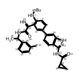 CCCCNc1ccc(-c2ccc3c(NC(=O)C4CC4)n[nH]c3c2)cc1C(=N)C(=O)NC(C)c1cccc(F)c1